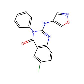 O=c1c2cc(F)ccc2nc(Nc2cnoc2)n1-c1ccccc1